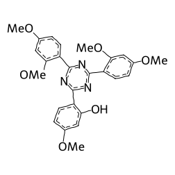 COc1ccc(-c2nc(-c3ccc(OC)cc3OC)nc(-c3ccc(OC)cc3OC)n2)c(O)c1